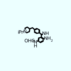 CC(C)N1CCC(Cc2ccc(C(=N)c3cc(NC=O)ccc3N)cc2)CC1